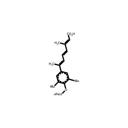 CCCCCOc1c(C(C)(C)C)cc(/C(C)=C/C=C/C(C)=C/C(=O)O)cc1C(C)(C)C